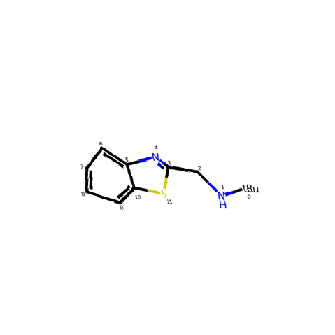 CC(C)(C)NCc1nc2ccccc2s1